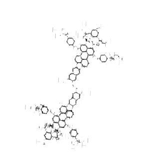 Cc1cc2cc3c(cc2cc1CCc1cc2cc4c(cc2cc1C)-c1ccc2c5c(Oc6ccc(C(C)(C)C)cc6)cc6c7c(cc(Oc8ccc(C(C)(C)C)cc8)c(c8ccc-4c1c28)c75)C(=O)N(c1c(C(C)C)cc(S)cc1C(C)C)C6=O)-c1ccc2c4c(Oc5ccc(C(C)(C)C)cc5)cc5c6c(cc(Oc7ccc(C(C)(C)C)cc7)c(c7ccc-3c1c72)c64)C(=O)N(c1c(C(C)C)cc(S)cc1C(C)C)C5=O